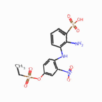 CCS(=O)(=O)Oc1ccc(Nc2cccc(S(=O)(=O)O)c2N)c([N+](=O)[O-])c1